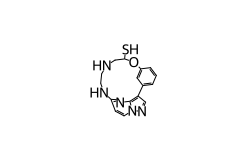 SC1CNCCNc2ccn3ncc(c3n2)-c2cccc(c2)O1